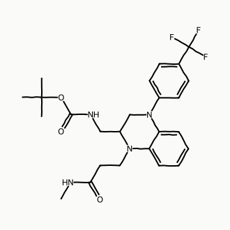 CNC(=O)CCN1c2ccccc2N(c2ccc(C(F)(F)F)cc2)CC1CNC(=O)OC(C)(C)C